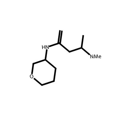 C=C(CC(C)NC)NC1CCCOC1